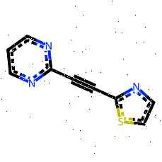 C(#Cc1nccs1)c1ncccn1